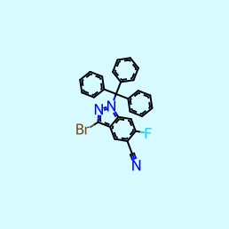 N#Cc1cc2c(Br)nn(C(c3ccccc3)(c3ccccc3)c3ccccc3)c2cc1F